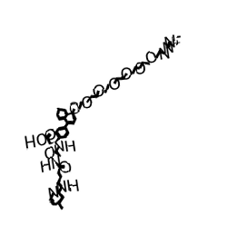 Cc1ccnc(NCCCC(=O)NCC(=O)N[C@@H](CC(=O)O)c2ccc(-c3ccc(OCCOCCOCCOCCOCCOCCOCCN=[N+]=[N-])c4ccccc34)cc2)c1